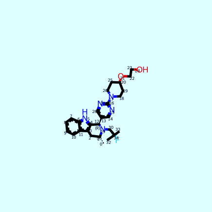 C[C@@H]1Cc2c([nH]c3ccccc23)[C@@H](c2cnc(N3CCC(OCCO)CC3)nc2)N1CC(C)(C)F